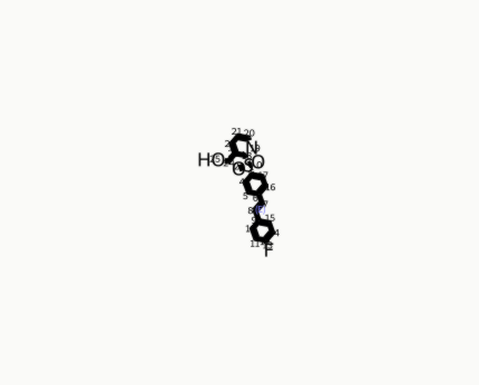 O=S(=O)(c1ccc(/C=C/c2ccc(F)cc2)cc1)c1ncccc1CO